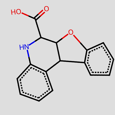 O=C(O)C1Nc2ccccc2C2c3ccccc3OC12